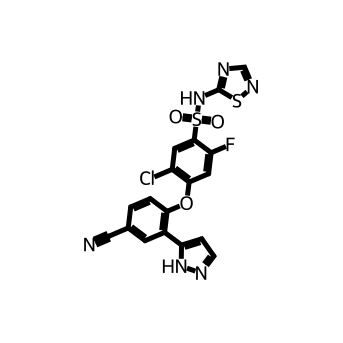 N#Cc1ccc(Oc2cc(F)c(S(=O)(=O)Nc3ncns3)cc2Cl)c(-c2ccn[nH]2)c1